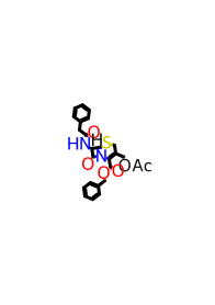 CC(=O)OCC1=C(C(=O)OCc2ccccc2)N2C(=O)[C@@H](NC(=O)Cc3ccccc3)[C@@H]2SC1